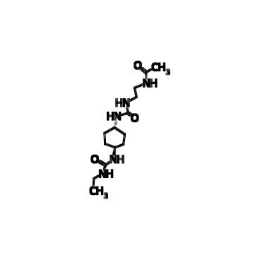 CCNC(=O)N[C@H]1CC[C@H](NC(=O)NCCNC(C)=O)CC1